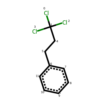 ClC(Cl)(Cl)CCc1cc[c]cc1